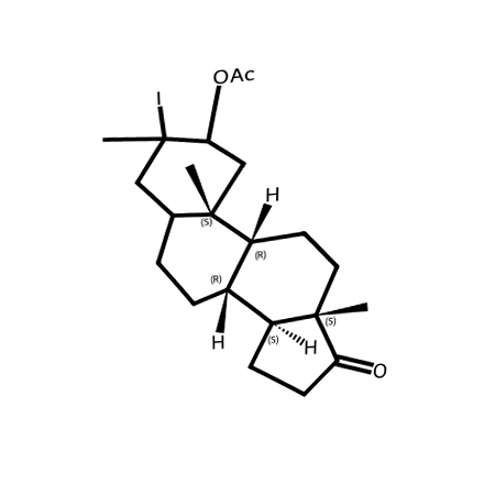 CC(=O)OC1C[C@@]2(C)C(CC[C@@H]3[C@H]2CC[C@]2(C)C(=O)CC[C@@H]32)CC1(C)I